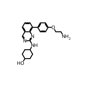 NCCOc1ccc(-c2cccc3cnc(NC4CCC(O)CC4)nc23)cc1